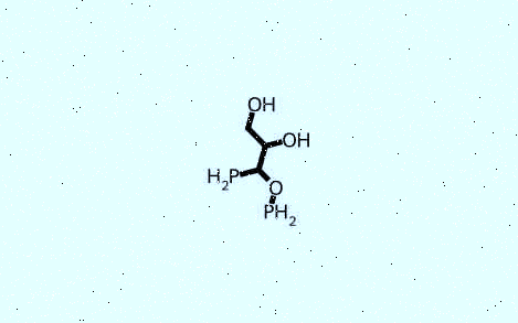 OCC(O)C(P)OP